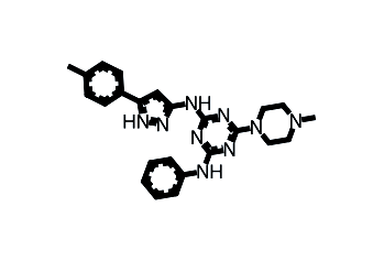 Cc1ccc(-c2cc(Nc3nc(Nc4ccccc4)nc(N4CCN(C)CC4)n3)n[nH]2)cc1